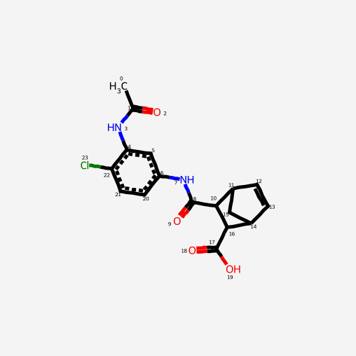 CC(=O)Nc1cc(NC(=O)C2C3C=CC(C3)C2C(=O)O)ccc1Cl